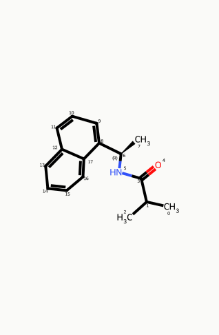 CC(C)C(=O)N[C@H](C)c1cccc2ccccc12